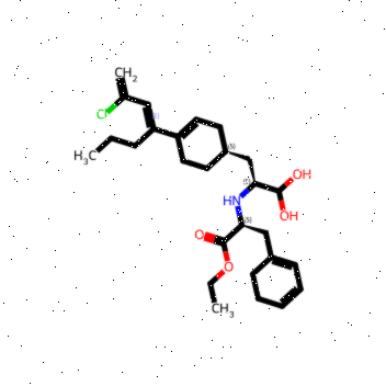 C=C(Cl)/C=C(\CCC)C1=CC[C@@H](C[C@H](N[C@@H](CC2=CC=CCC2)C(=O)OCC)C(O)O)CC1